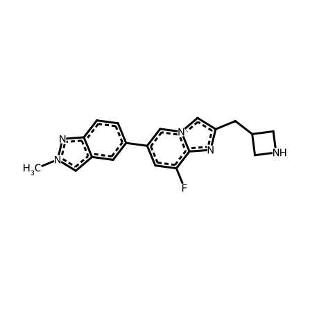 Cn1cc2cc(-c3cc(F)c4nc(CC5CNC5)cn4c3)ccc2n1